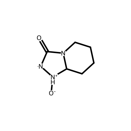 O=C1[N][NH+]([O-])C2CCCCN12